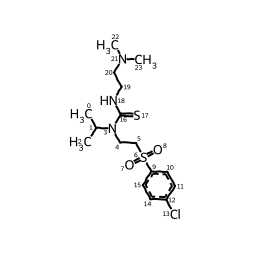 CC(C)N(CCS(=O)(=O)c1ccc(Cl)cc1)C(=S)NCCN(C)C